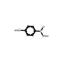 [CH2]CCCCCc1ccc([S+]([O-])CCCCCC)cc1